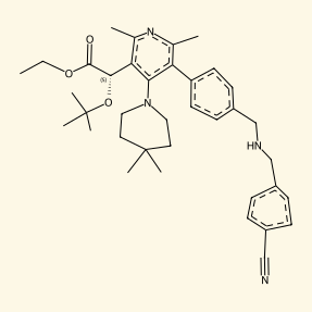 CCOC(=O)[C@@H](OC(C)(C)C)c1c(C)nc(C)c(-c2ccc(CNCc3ccc(C#N)cc3)cc2)c1N1CCC(C)(C)CC1